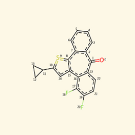 O=c1c2ccccc2c2sc(C3CC3)cc2c2c(F)c(F)ccc12